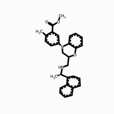 COC(=O)c1cc(N2CC(CN[C@H](C)c3cccc4ccccc34)Oc3ccccc32)ccc1C